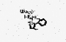 CC(C)(C)[S+]([O-])NC[SH]1C=CC(F)=C1c1ccccc1C=O